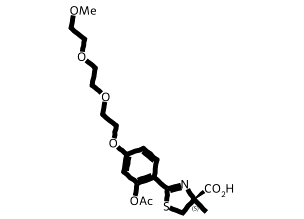 COCCOCCOCCOc1ccc(C2=N[C@@](C)(C(=O)O)CS2)c(OC(C)=O)c1